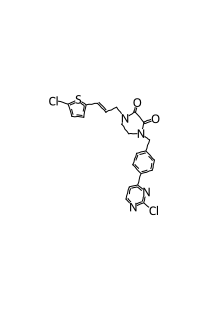 O=C1C(=O)N(Cc2ccc(-c3ccnc(Cl)n3)cc2)CCN1CC=Cc1ccc(Cl)s1